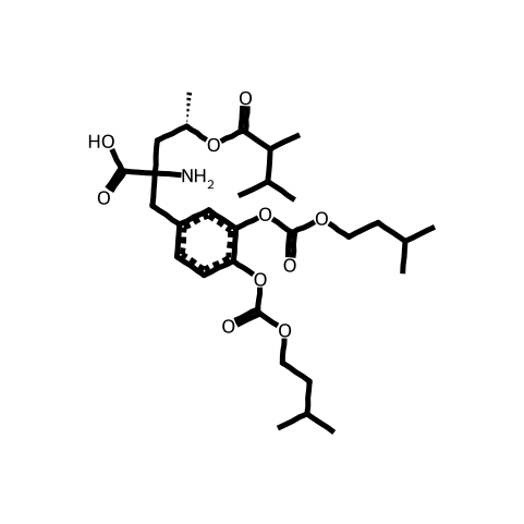 CC(C)CCOC(=O)Oc1ccc(CC(N)(C[C@H](C)OC(=O)C(C)C(C)C)C(=O)O)cc1OC(=O)OCCC(C)C